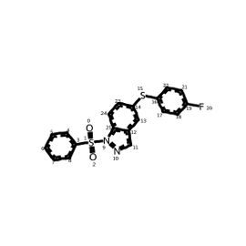 O=S(=O)(c1ccccc1)n1ncc2cc(Sc3ccc(F)cc3)ccc21